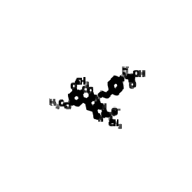 COc1cc(OC)c(Cl)c(-c2cc3cnc([S+](C)[O-])nc3n(CCc3ccc(NC(=O)O)cc3)c2=O)c1